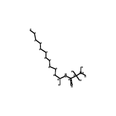 CCCCCCCCCCCC(C)OC(=O)C(C)(C)N(C)C